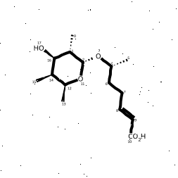 C[C@@H]1[C@H](O[C@H](C)CC/C=C/C(=O)O)O[C@@H](C)[C@@H](C)[C@H]1O